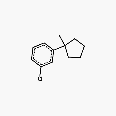 CC1(c2cccc(Cl)c2)CCCC1